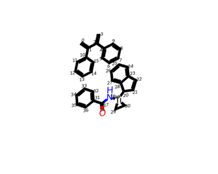 C=C(C(=C)c1ccccc1)c1ccccc1.O=C([NH][Ti]1([CH]2C=Cc3ccccc32)[CH2][CH2]1)c1ccccc1